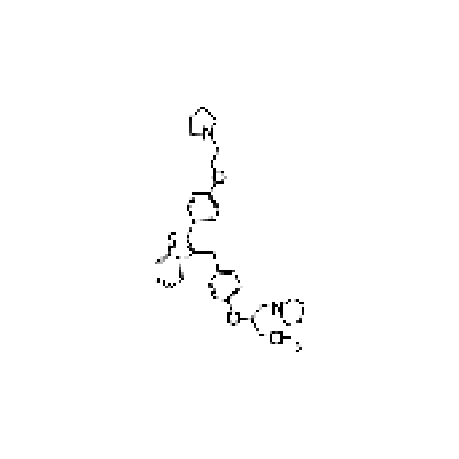 CCC(CN1CCCC1)Oc1ccc(Cc2c(-c3ccc(OCCN4CCCC4)cc3)sc3ccccc23)cc1